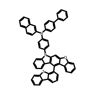 c1ccc(-c2ccc(N(c3ccc(-n4c5ccccc5c5c(-c6cccc7c6sc6ccccc67)c6c(cc54)oc4ccccc46)cc3)c3ccc4ccccc4c3)cc2)cc1